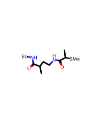 CCNC(=O)C(C)CCNC(=O)C(C)SC